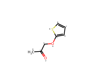 CC(=O)COc1cccs1